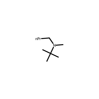 [CH2]CCCN(C)C(C)(C)C